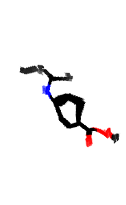 CC(C)OC(=O)c1ccc(NC(C(=O)O)C(C)C)cc1